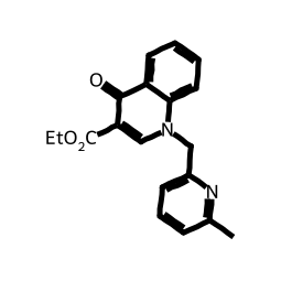 CCOC(=O)c1cn(Cc2cccc(C)n2)c2ccccc2c1=O